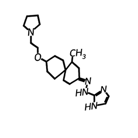 CC1CC(=NNc2ncc[nH]2)CCC12CCC(OCCN1CCCC1)CC2